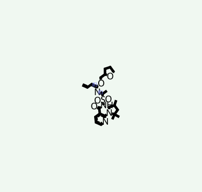 C=C/C=C(\N=C(/C)S(=O)(=O)NC(=O)c1cccnc1N1CC(C)CC1(C)C)OCC1CCCO1